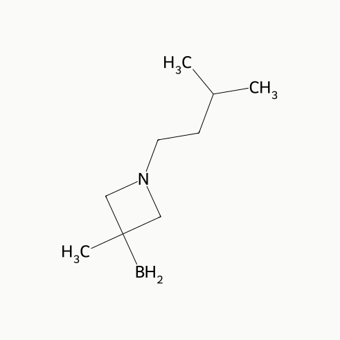 BC1(C)CN(CCC(C)C)C1